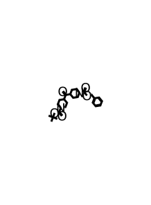 CC(C)(C)OC(=O)N1CCC(C(=O)C2CCN(C(=O)OCc3ccccc3)CC2)CC1